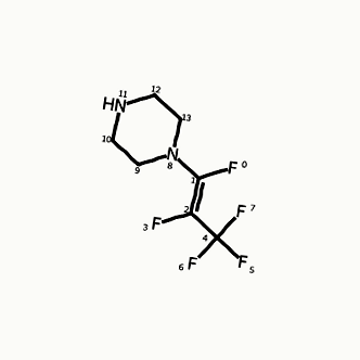 FC(=C(F)C(F)(F)F)N1CCNCC1